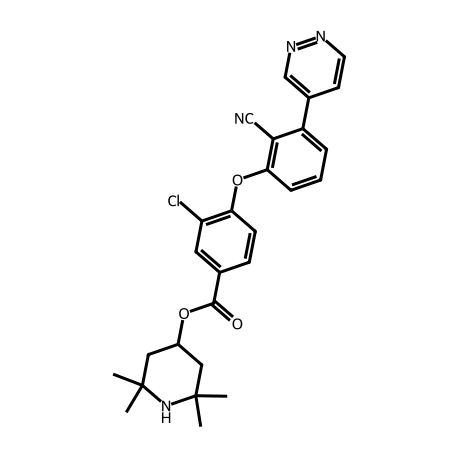 CC1(C)CC(OC(=O)c2ccc(Oc3cccc(-c4ccnnc4)c3C#N)c(Cl)c2)CC(C)(C)N1